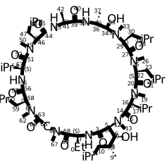 CC[C@@H]1NC(=O)[C@H]([C@H](O)[C@H](C)CC(C)C)N(C)C(=O)[C@H](C(C)C)N(C)C(=O)[C@H](CC(C)C)N(C)C(=O)[C@H](CC(C)C)N(C)C(O)[C@@H](C)NC(=O)[C@H](C)NC(=O)[C@H](CC(C)C)N(C)C(=O)[C@H](C(C)C)NC(=O)[C@H](CC(C)C)N(C)C(=O)CN(C)C1=O